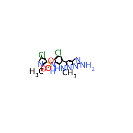 CNc1nc2nc(N)ncc2cc1-c1cc(Cl)cc(NS(=O)(=O)c2cc(Cl)cnc2OC)c1